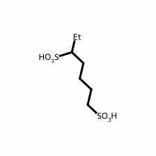 CCC(CCCCS(=O)(=O)O)S(=O)(=O)O